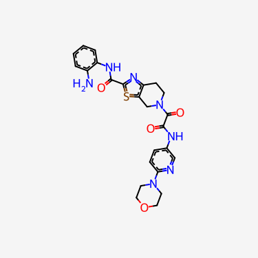 Nc1ccccc1NC(=O)c1nc2c(s1)CN(C(=O)C(=O)Nc1ccc(N3CCOCC3)nc1)CC2